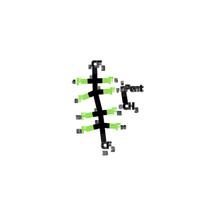 CCCCCC.FC(F)(F)C(F)(F)C(F)(F)C(F)(F)C(F)(F)C(F)(F)F